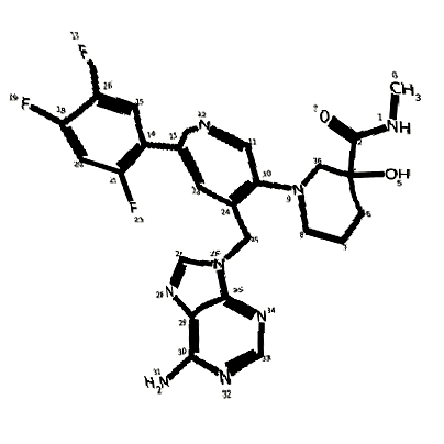 CNC(=O)C1(O)CCCN(c2cnc(-c3cc(F)c(F)cc3F)cc2Cn2cnc3c(N)ncnc32)C1